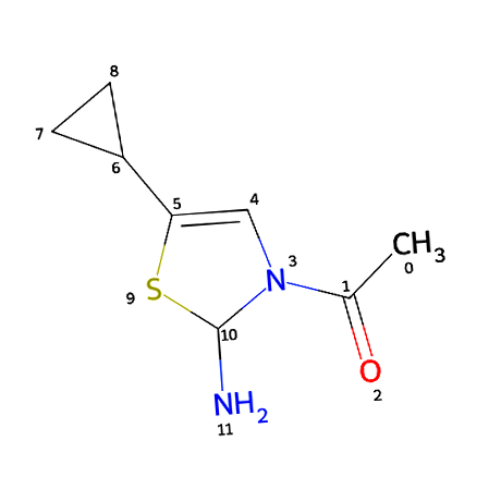 CC(=O)N1C=C(C2CC2)SC1N